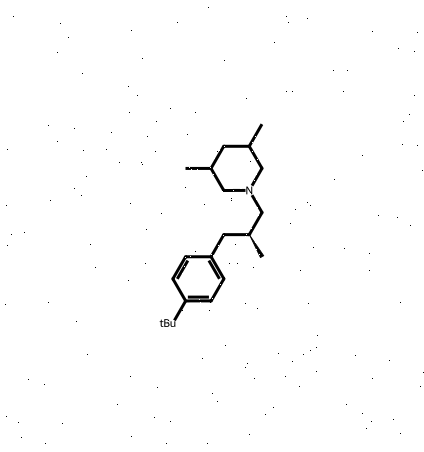 CC1CC(C)CN(C[C@@H](C)Cc2ccc(C(C)(C)C)cc2)C1